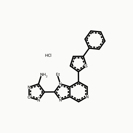 CCn1c(-c2nonc2N)nc2cncc(-c3ccc(-c4ccccc4)s3)c21.Cl